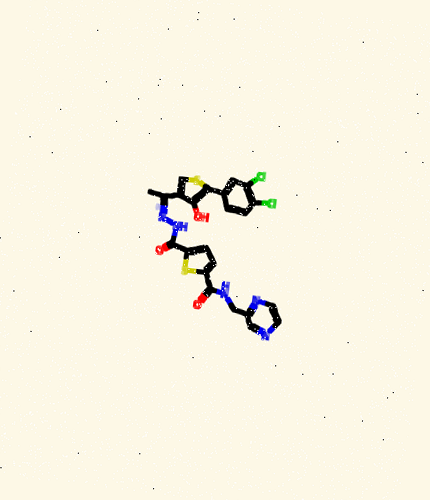 C/C(=N/NC(=O)c1ccc(C(=O)NCc2cnccn2)s1)c1csc(-c2ccc(Cl)c(Cl)c2)c1O